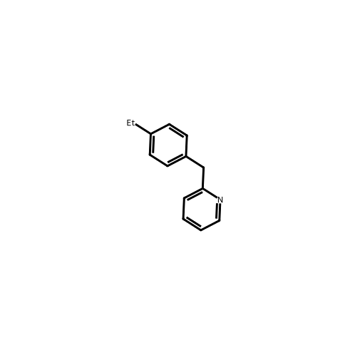 CCc1ccc(Cc2ccccn2)cc1